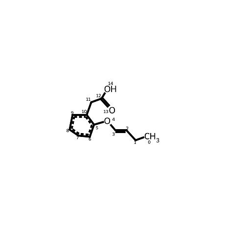 CCC=COc1ccccc1CC(=O)O